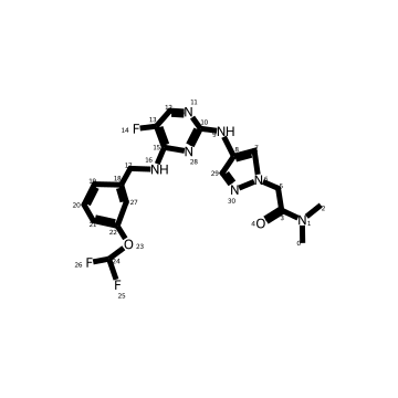 CN(C)C(=O)Cn1cc(Nc2ncc(F)c(NCc3cccc(OC(F)F)c3)n2)cn1